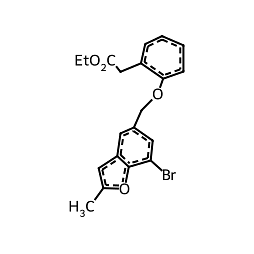 CCOC(=O)Cc1ccccc1OCc1cc(Br)c2oc(C)cc2c1